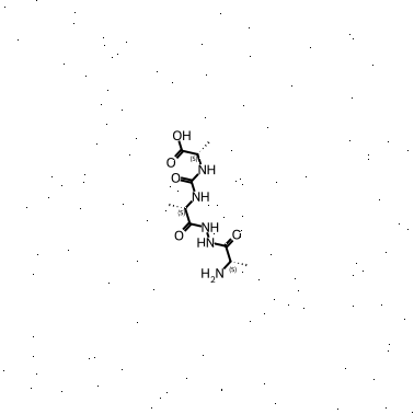 C[C@H](N)C(=O)NNC(=O)[C@H](C)NC(=O)N[C@@H](C)C(=O)O